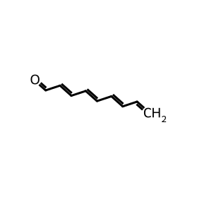 C=C/C=C/C=C/C=C/C=O